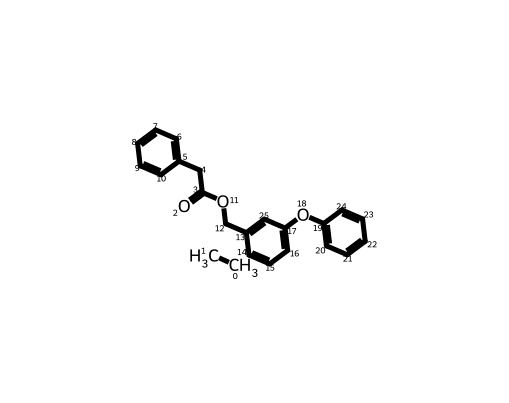 CC.O=C(Cc1ccccc1)OCc1cccc(Oc2ccccc2)c1